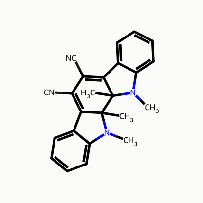 [C-]#[N+]C1=C2c3ccccc3N(C)C2(C)C2(C)C(=C1C#N)c1ccccc1N2C